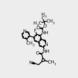 Cc1ccncc1-c1cc2cc(NC(=O)C3C(C)C3CC#N)ncc2c(NC(=O)OC(C)(C)C)c1F